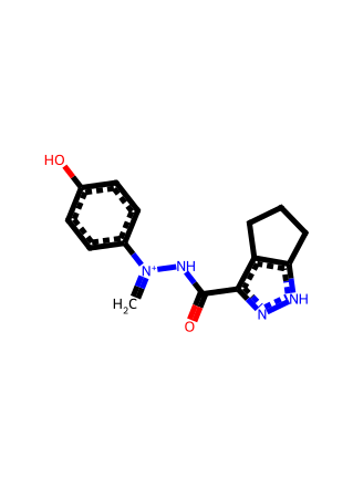 C=[N+](NC(=O)c1n[nH]c2c1CCC2)c1ccc(O)cc1